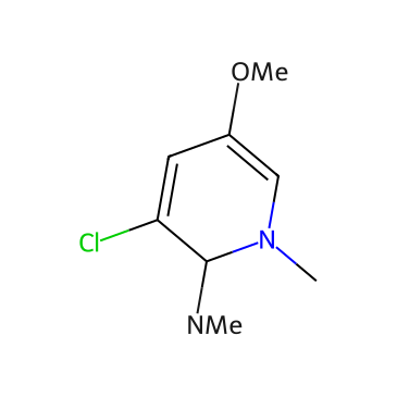 CNC1C(Cl)=CC(OC)=CN1C